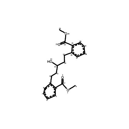 COC(=O)c1ccccc1CCC(O)CCc1ccccc1C(=O)OC